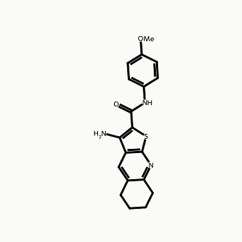 COc1ccc(NC(=O)c2sc3nc4c(cc3c2N)CCCC4)cc1